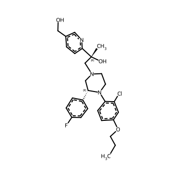 CCCOc1ccc(N2CCN(C[C@@](C)(O)c3ccc(CO)cn3)C[C@H]2c2ccc(F)cc2)c(Cl)c1